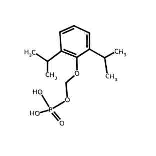 CC(C)c1cccc(C(C)C)c1OCOP(=O)(O)O